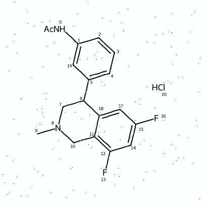 CC(=O)Nc1cccc(C2CN(C)Cc3c(F)cc(F)cc32)c1.Cl